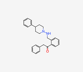 O=C(Cc1ccccc1)c1ccccc1CNN1CCC(c2ccccc2)CC1